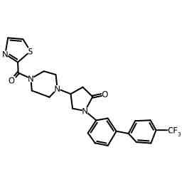 O=C(c1nccs1)N1CCN(C2CC(=O)N(c3cccc(-c4ccc(C(F)(F)F)cc4)c3)C2)CC1